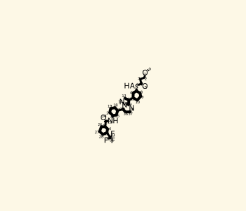 COCCC(=O)[AsH]c1cccc(-c2cnn3c(-c4cccc(NC(=O)c5cccc(C(F)(F)F)c5)c4)ccnc23)c1